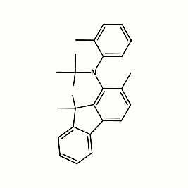 Cc1ccccc1N(c1c(C)ccc2c1C(C)(C)c1ccccc1-2)C(C)(C)C